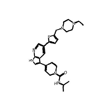 CCN1CCN(Cc2ccc(-c3cnc4[nH]cc(C5=CCN(C(=O)NC(C)C)CC5)c4c3)s2)CC1